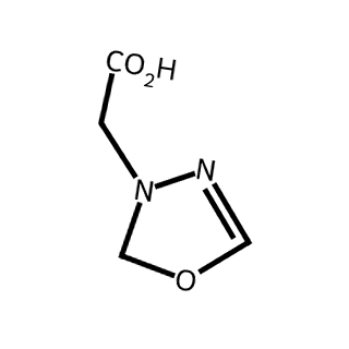 O=C(O)CN1COC=N1